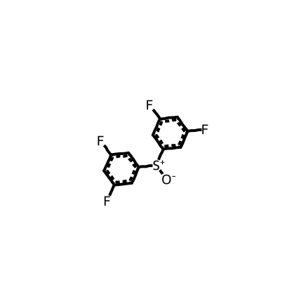 [O-][S+](c1cc(F)cc(F)c1)c1cc(F)cc(F)c1